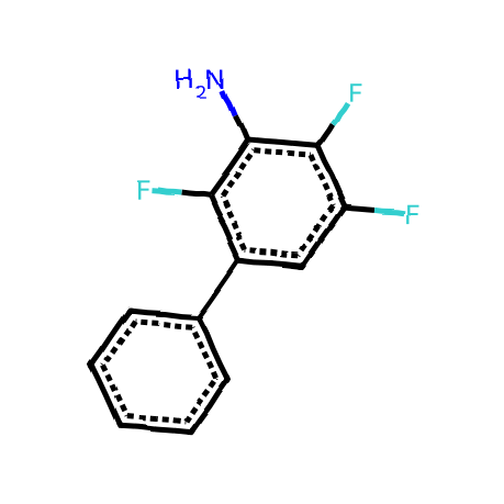 Nc1c(F)c(F)cc(-c2ccccc2)c1F